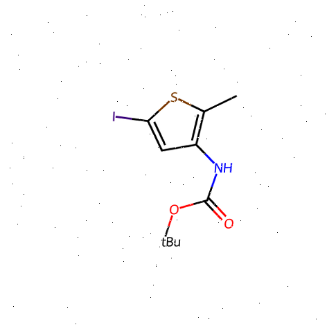 Cc1sc(I)cc1NC(=O)OC(C)(C)C